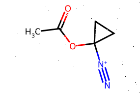 CC(=O)OC1([N+]#N)CC1